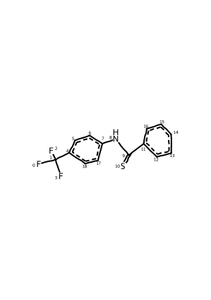 FC(F)(F)c1ccc(NC(=S)c2ccccc2)cc1